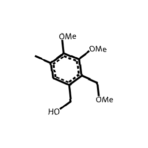 COCc1c(CO)cc(C)c(OC)c1OC